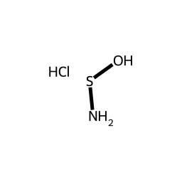 Cl.NSO